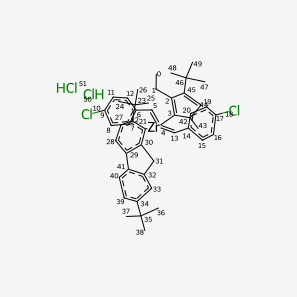 CCC1=[C]([Zr](=[CH]c2ccc(Cl)cc2)(=[CH]c2ccc(Cl)cc2)[c]2c(C(C)(C)C)ccc3c2Cc2cc(C(C)(C)C)ccc2-3)C(C)C=C1C(C)(C)C.Cl.Cl